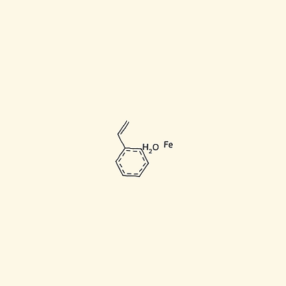 C=Cc1ccccc1.O.[Fe]